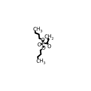 C=CC(=O)P(=O)(OCCCC)OCCCC